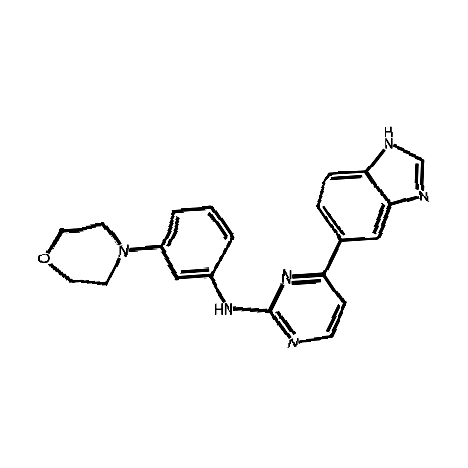 c1cc(Nc2nccc(-c3ccc4[nH]cnc4c3)n2)cc(N2CCOCC2)c1